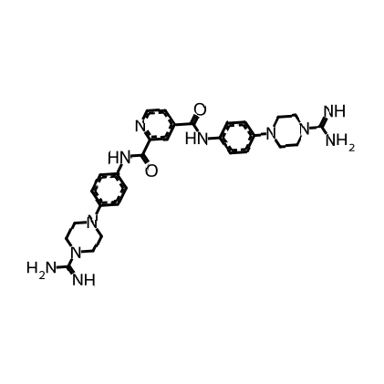 N=C(N)N1CCN(c2ccc(NC(=O)c3ccnc(C(=O)Nc4ccc(N5CCN(C(=N)N)CC5)cc4)c3)cc2)CC1